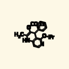 CCOC(=O)OC1=C(C)Nc2ccnc(OC(C)C)c2C1c1ccccc1